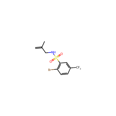 C=C(C)CNS(=O)(=O)c1cc(C(F)(F)F)ccc1Br